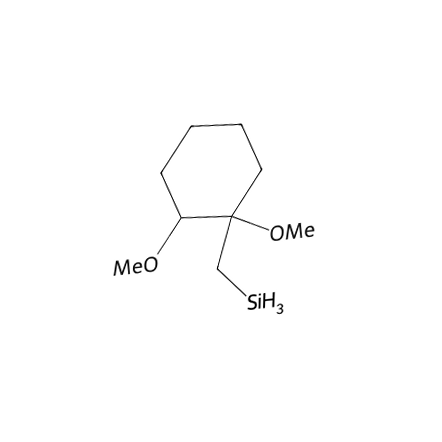 COC1CCCCC1(C[SiH3])OC